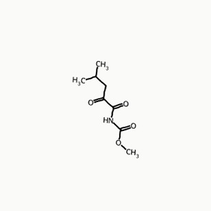 COC(=O)NC(=O)C(=O)CC(C)C